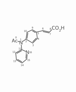 CC(=O)N(c1ccc(C=CC(=O)O)cc1)c1ccccn1